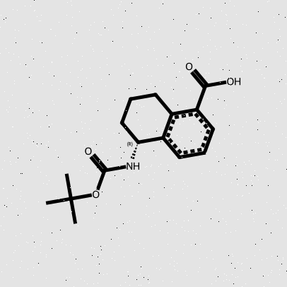 CC(C)(C)OC(=O)N[C@@H]1CCCc2c(C(=O)O)cccc21